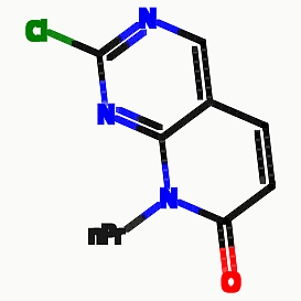 CCCn1c(=O)ccc2cnc(Cl)nc21